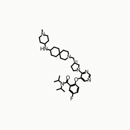 CC(C)N(C(=O)c1cc(F)ccc1Oc1cncnc1N1CC[C@@H](CN2CCC3(CCC(NC4CCN(C)CC4)CC3)CC2)C1)C(C)C